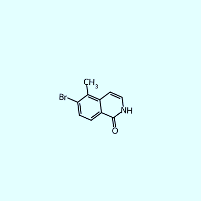 Cc1c(Br)ccc2c(=O)[nH]ccc12